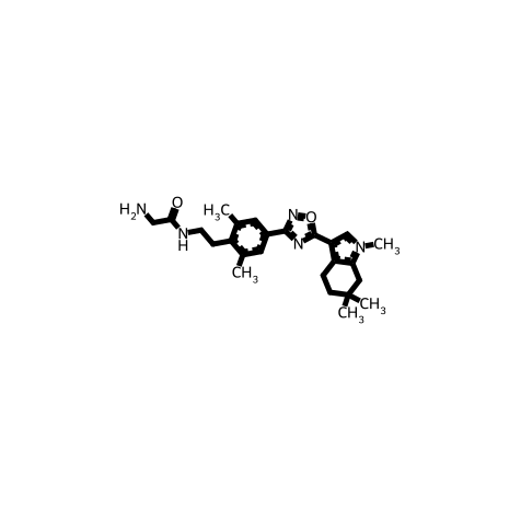 Cc1cc(-c2noc(-c3cn(C)c4c3CCC(C)(C)C4)n2)cc(C)c1CCNC(=O)CN